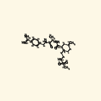 C[C@H]1CCN(CCNS(C)(=O)=O)[C@@H](C(=O)N[C@@H](C)C(=O)NCc2ccc(C(=N)N)cc2)C1